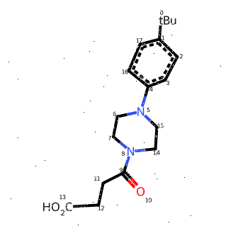 CC(C)(C)c1ccc(N2CCN(C(=O)CCC(=O)O)CC2)cc1